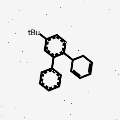 CC(C)(C)c1ccc(C2C=CC=CC2)c(-c2ccccc2)c1